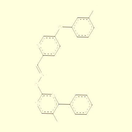 Fc1cnc(N/N=C/c2ccc(Nc3cccc(C(F)(F)F)c3)cn2)nc1-c1ccccc1